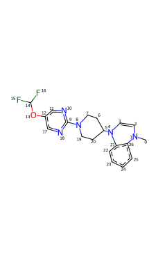 CN1C=CN(C2CCN(c3ncc(OC(F)F)cn3)CC2)c2ccccc21